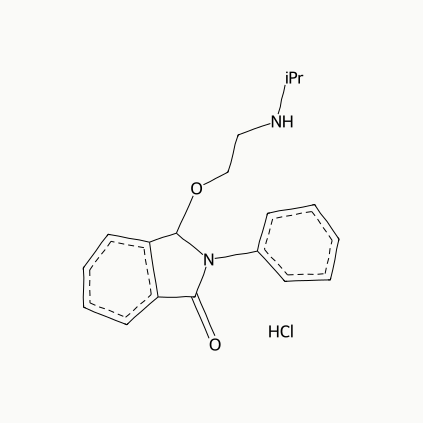 CC(C)NCCOC1c2ccccc2C(=O)N1c1ccccc1.Cl